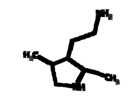 CC1CNC(C)C1CCN